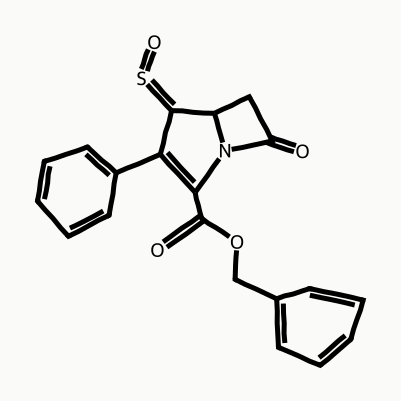 O=S=C1C(c2ccccc2)=C(C(=O)OCc2ccccc2)N2C(=O)CC12